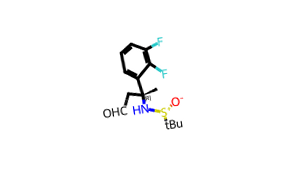 CC(C)(C)[S+]([O-])N[C@](C)(CC=O)c1cccc(F)c1F